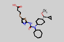 COC(C1CC1)[C@H]1CC[C@H](N(C(=O)Nc2ncc(SCCC(=O)O)s2)C2CCCCCC2)CC1